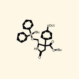 CCCCCCCCc1ccc(C2(C(=O)OC(C)(C)C)CC(=O)N[C@H]2CO[Si](c2ccccc2)(c2ccccc2)C(C)(C)C)cc1